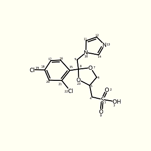 O=S(=O)(O)CC1COC(Cn2ccnc2)(c2ccc(Cl)cc2Cl)O1